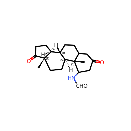 C[C@]12C(CC[C@@H]3[C@@H]1CC[C@]1(C)C(=O)CC[C@@H]31)CC(=O)CC2NC=O